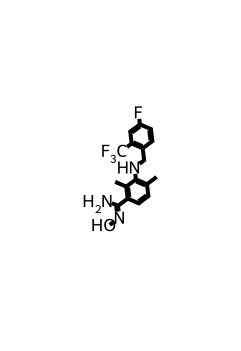 Cc1ccc(C(N)=NO)c(C)c1NCc1ccc(F)cc1C(F)(F)F